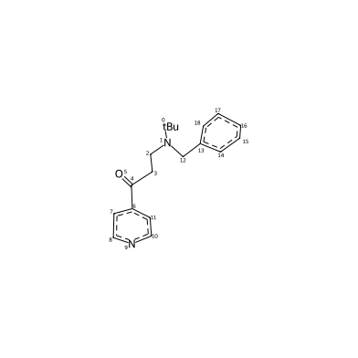 CC(C)(C)N(CCC(=O)c1ccncc1)Cc1ccccc1